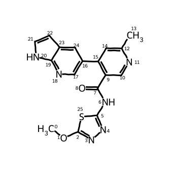 COc1nnc(NC(=O)c2cnc(C)cc2-c2cnc3[nH]ccc3c2)s1